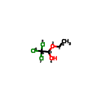 CCOC(O)C(Cl)(Cl)Cl